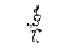 C=CCNC(=O)[C@@H](N)Cc1ccc(OP=O)cc1